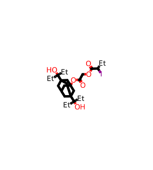 CCC(I)C(=O)OCC(=O)OC12CC3CC(C(O)(CC)CC)(C1)CC(C(O)(CC)CC)(C3)C2